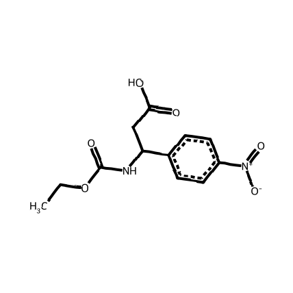 CCOC(=O)NC(CC(=O)O)c1ccc([N+](=O)[O-])cc1